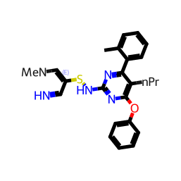 CCCc1c(Oc2ccccc2)nc(NS/C(C=N)=C/NC)nc1-c1ccccc1C